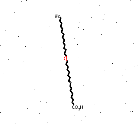 CC(C)CCCCCCCCCCCCCCCOCCCCCCCCCCCCCCCCCC(=O)O